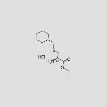 CCOC(=O)[C@@H](N)CSCC1CCCCC1.Cl